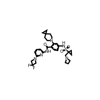 O=C(Nc1cccc(N2CC(F)(F)C2)n1)c1ccc(NS(=O)(=O)C2(CN3CCC3)CC2)cc1N1CCC2(CC1)CC2